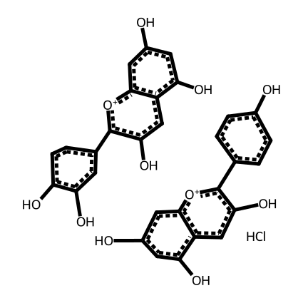 Cl.Oc1cc(O)c2cc(O)c(-c3ccc(O)c(O)c3)[o+]c2c1.Oc1ccc(-c2[o+]c3cc(O)cc(O)c3cc2O)cc1